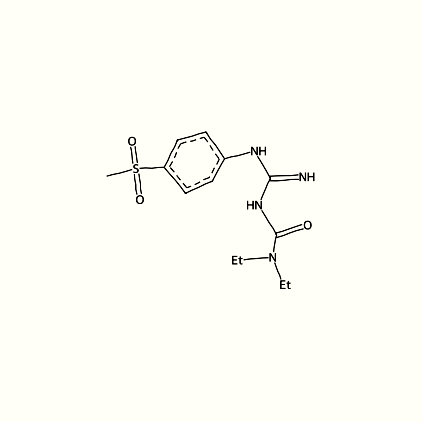 CCN(CC)C(=O)NC(=N)Nc1ccc(S(C)(=O)=O)cc1